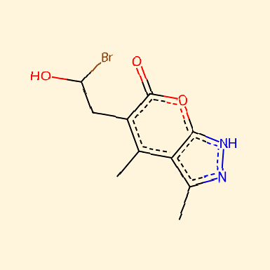 Cc1n[nH]c2oc(=O)c(CC(O)Br)c(C)c12